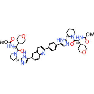 COC(=O)N[C@H](C(=O)N1CCCC[C@H]1c1ncc(-c2ccc(-c3ccc4cc(-c5cnc([C@@H]6CCCN6C(=O)[C@@H](NC(=O)OC)C6CCOCC6)[nH]5)ccc4n3)cc2)[nH]1)C1CCOCC1